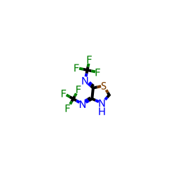 FC(F)(F)N=C1NCSC1=NC(F)(F)F